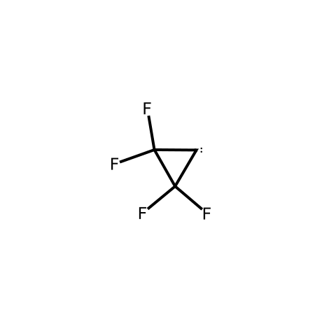 FC1(F)[C]C1(F)F